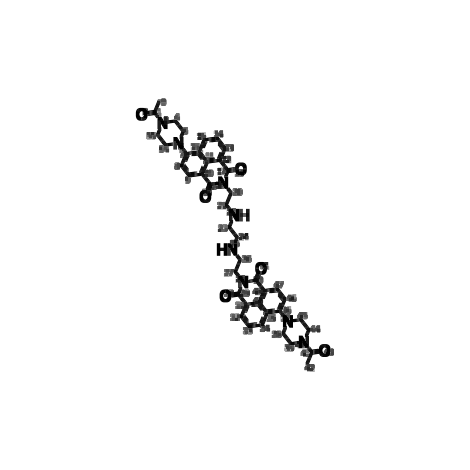 CC(=O)N1CCN(c2ccc3c4c(cccc24)C(=O)N(CCNCCNCCN2C(=O)c4cccc5c(N6CCN(C(C)=O)CC6)ccc(c45)C2=O)C3=O)CC1